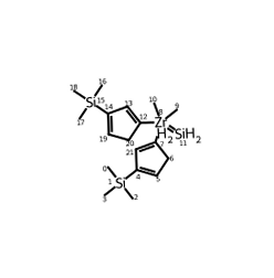 C[Si](C)(C)C1=CC[C]([ZrH2]([CH3])([CH3])(=[SiH2])[C]2=CC([Si](C)(C)C)=CC2)=C1